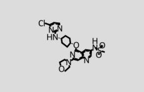 CS(=O)(=O)Nc1cnc2cc(N3CCOCC3)nc(O[C@H]3CC[C@@H](Nc4nccc(Cl)n4)CC3)c2c1